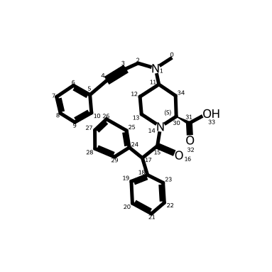 CN(CC#Cc1ccccc1)C1CCN(C(=O)C(c2ccccc2)c2ccccc2)[C@H](C(=O)O)C1